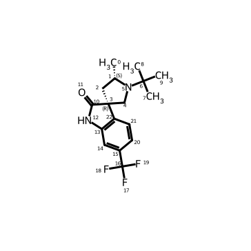 C[C@H]1C[C@@]2(CN1C(C)(C)C)C(=O)Nc1cc(C(F)(F)F)ccc12